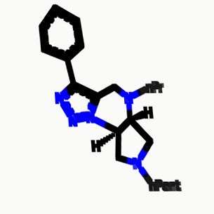 CCCCCN1C[C@@H]2[C@@H](C1)n1nnc(-c3ccccc3)c1CN2CCC